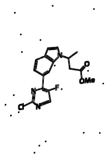 COC(=O)CC(C)n1ccc2ccc(-c3nc(Cl)ncc3F)cc21